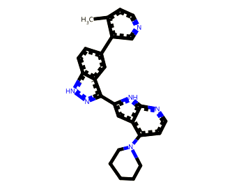 Cc1ccncc1-c1ccc2[nH]nc(-c3cc4c(N5CCCCC5)ccnc4[nH]3)c2c1